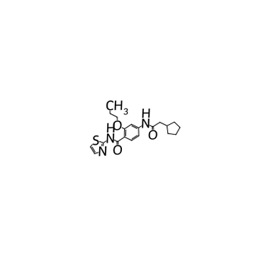 CCCOc1cc(NC(=O)CC2CCCC2)ccc1C(=O)Nc1nccs1